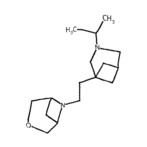 CC(C)N1CC2CC(CCN3C4COCC3C4)(C2)C1